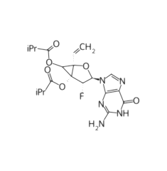 C=C[C@]12O[C@@H](n3cnc4c(=O)[nH]c(N)nc43)[C@H](F)[C@@]1(OC(=O)C(C)C)C2OC(=O)C(C)C